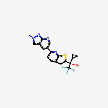 Cn1cc2cc(-c3ccc4cc([C@](O)(C5CC5)C(F)(F)F)sc4n3)cnc2n1